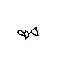 c1ccc2nc(C3CCCCC3)ccc2c1